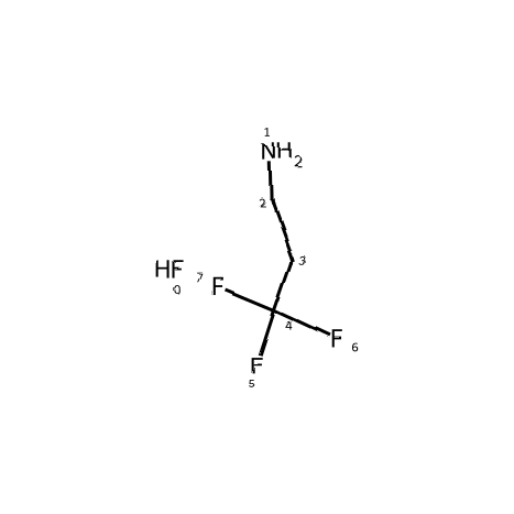 F.NCCC(F)(F)F